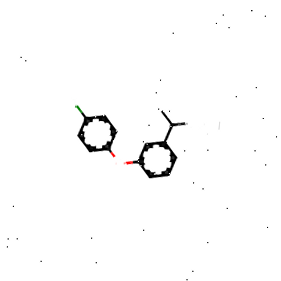 CC(C(=O)O)c1cccc(Oc2ccc(Cl)cc2)c1